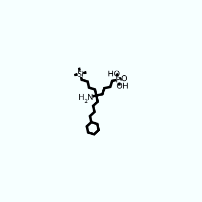 C[Si](C)(C)CCCCC(N)(CCCCC1CCCCC1)CCCCP(=O)(O)O